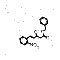 O=C(C=Cc1ccccc1[N+](=O)[O-])CC(=O)OCc1ccccc1